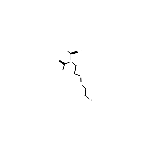 CCC(=O)N(CCSSCCN)C(=O)CC